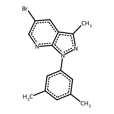 Cc1cc(C)cc(-n2nc(C)c3cc(Br)cnc32)c1